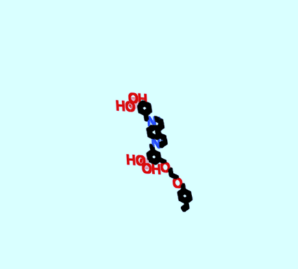 C=Cc1ccc(COCCCOCc2cc(C[n+]3cccc4c5ccc[n+](Cc6cccc(B(O)O)c6)c5ccc43)cc(B(O)O)c2)cc1